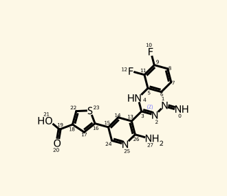 N=N/N=C(\Nc1cccc(F)c1F)c1cc(-c2cc(C(=O)O)cs2)cnc1N